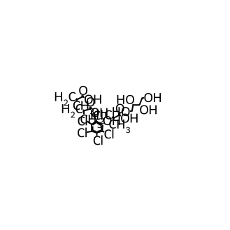 C=C(C)C(=O)O.C=C(C)C(=O)O.C=C(C)C(=O)O.OCC(O)C(O)CO.Oc1c(Cl)c(Cl)c(Cl)c(Cl)c1Cl